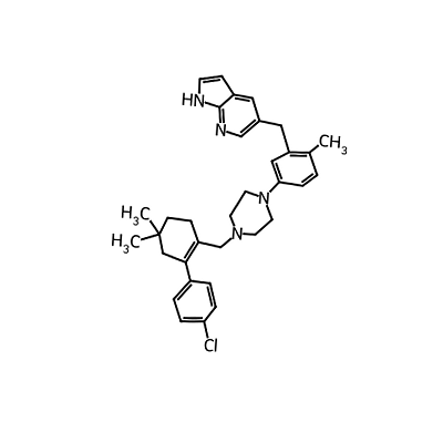 Cc1ccc(N2CCN(CC3=C(c4ccc(Cl)cc4)CC(C)(C)CC3)CC2)cc1Cc1cnc2[nH]ccc2c1